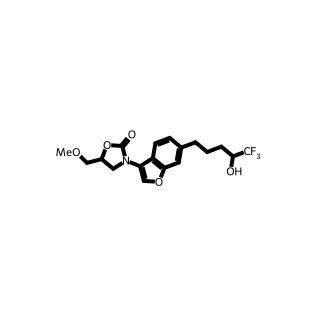 COCC1CN(c2coc3cc(CCCC(O)C(F)(F)F)ccc23)C(=O)O1